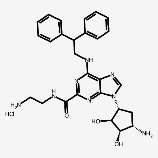 Cl.NCCNC(=O)c1nc(NCC(c2ccccc2)c2ccccc2)c2ncn([C@@H]3C[C@H](N)[C@@H](O)[C@H]3O)c2n1